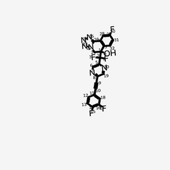 OC1(C(F)(F)c2cnc(C#Cc3ccc(F)c(F)c3)cn2)Cn2nnnc2-c2cc(F)ccc21